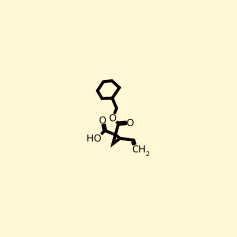 C=CC1CC1(C(=O)O)C(=O)OCC1CCCCC1